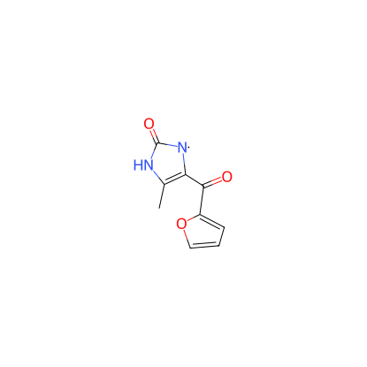 CC1=C(C(=O)c2ccco2)[N]C(=O)N1